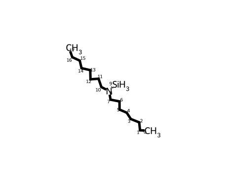 CCCCCCCCN([SiH3])CCCCCCCC